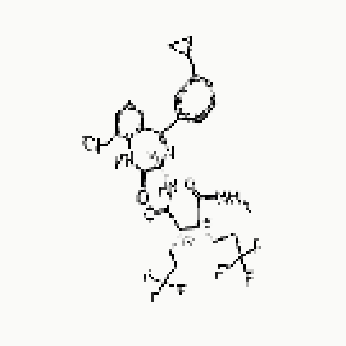 NC(=O)[C@H](CCC(F)(F)F)[C@H](CCC(F)(F)F)C(=O)N[C@H]1N=C(c2cccc(C3CC3)c2)c2cccc(Cl)c2NC1=O